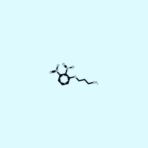 CCCCOc1cccc([N+](=O)[O-])c1[N+](=O)[O-]